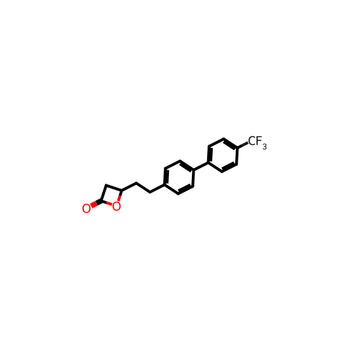 O=C1CC(CCc2ccc(-c3ccc(C(F)(F)F)cc3)cc2)O1